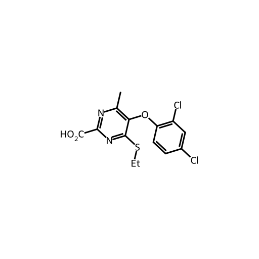 CCSc1nc(C(=O)O)nc(C)c1Oc1ccc(Cl)cc1Cl